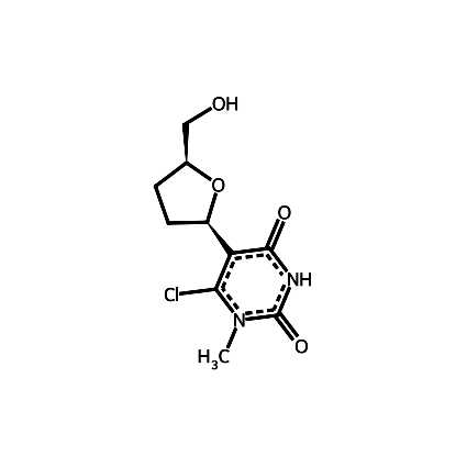 Cn1c(Cl)c([C@H]2CC[C@@H](CO)O2)c(=O)[nH]c1=O